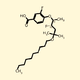 CCCCCCCCCCOC(C)(C)C[C@H](F)[C@H](C)Oc1ccc(C(=O)O)cc1F